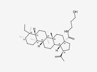 C=C(C)[C@@H]1CC[C@]2(C(=C)NCCCO)CC[C@]3(C)C(CC[C@@H]4[C@@]5(C)CC[C@H](C)[C@@](C)(CC)[C@@H]5CC[C@]43C)[C@@H]12